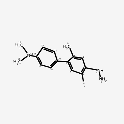 Cc1cc(NN)c(F)cc1-c1ccc(N(C)C)cc1